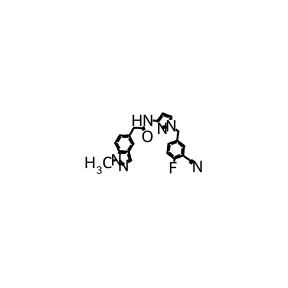 Cn1ncc2cc(CC(=O)Nc3ccn(Cc4ccc(F)c(C#N)c4)n3)ccc21